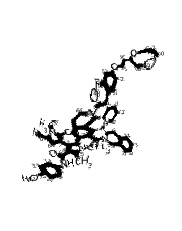 Cc1c(-c2c(C(=O)Nc3ccc(O)cc3)c(C)n(C)c2-c2cc3c(cc2C(=O)N2Cc4ccccc4C[C@H]2CN2CCCCC2)CN(C(=O)Cc2ccc(OCC[C@@H]4COCCO4)cc2F)CC3)cc(C#N)n1C